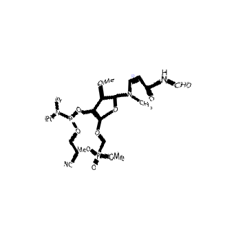 COC1C(OP(OCCC#N)N(C(C)C)C(C)C)C(OCP(=O)(OC)OC)OC1N(C)/C=C\C(=O)NC=O